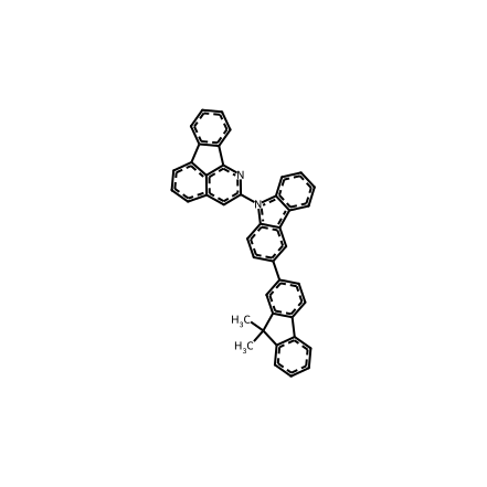 CC1(C)c2ccccc2-c2ccc(-c3ccc4c(c3)c3ccccc3n4-c3cc4cccc5c4c(n3)-c3ccccc3-5)cc21